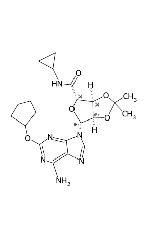 CC1(C)O[C@@H]2[C@H](O1)[C@@H](C(=O)NC1CC1)O[C@H]2n1cnc2c(N)nc(OC3CCCC3)nc21